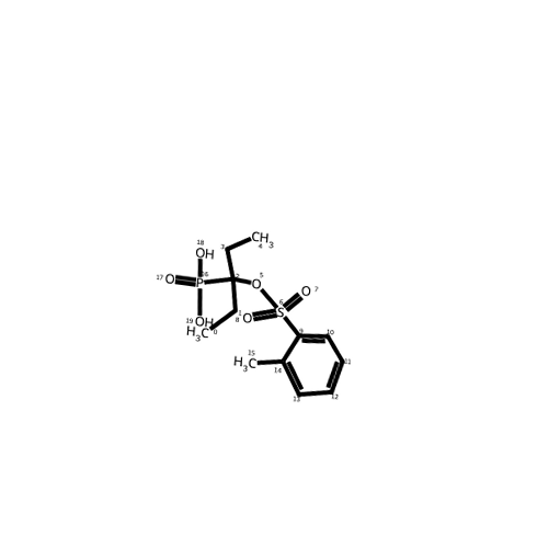 CCC(CC)(OS(=O)(=O)c1ccccc1C)P(=O)(O)O